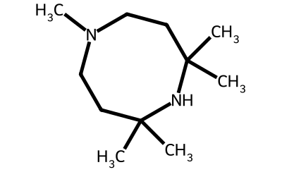 CN1CCC(C)(C)NC(C)(C)CC1